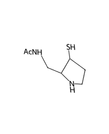 CC(=O)NCC1NCCC1S